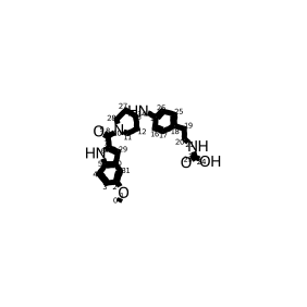 COc1ccc2[nH]c(C(=O)N3CCC(Nc4ccc(CCNC(=O)O)cc4)CC3)cc2c1